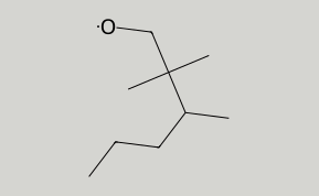 CCCC(C)C(C)(C)C[O]